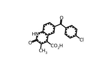 Cc1c(C(=O)O)c2cc(C(=O)c3ccc(Cl)cc3)ccc2[nH]c1=O